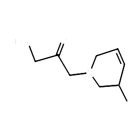 CCCCCCCC(=O)CN1CC=CC(C)C1